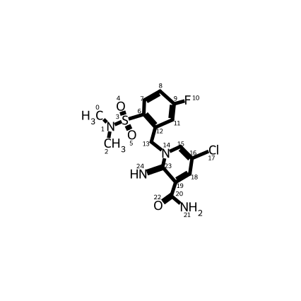 CN(C)S(=O)(=O)c1ccc(F)cc1Cn1cc(Cl)cc(C(N)=O)c1=N